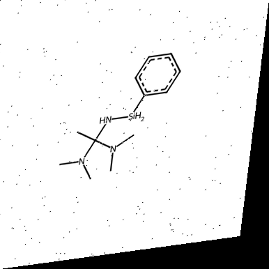 CN(C)C(C)(N[SiH2]c1ccccc1)N(C)C